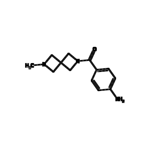 CN1CC2(C1)CN(C(=O)c1ccc(N)cc1)C2